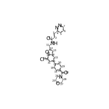 O=C(C=Cc1cccnn1)NCc1cc2cc(-c3ccc(C(=O)N4CCOCC4)cc3)cc(Cl)c2o1